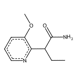 CCC(C(N)=O)c1ncccc1OC